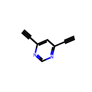 C#Cc1cc(C#C)ncn1